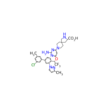 Cc1cc(Cl)cc(-c2ccc([C@@H](Oc3cc(N4CCC5(CC4)CNC(C(=O)O)C5)nc(N)n3)C(F)(F)F)c(-n3ccc(C)n3)c2)c1